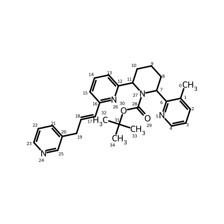 Cc1cccnc1C1CCCC(c2cccc(/C=C/Cc3cccnc3)n2)N1C(=O)OC(C)(C)C